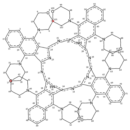 c1ccc2c(N3CCOCC3)c3c(c(N4CCOCC4)c2c1)-c1nc-3nc2[nH]c(nc3nc(nc4[nH]c(n1)c1c(N5CCOCC5)c5ccccc5c(N5CCOCC5)c41)-c1c-3c(N3CCOCC3)c3ccccc3c1N1CCOCC1)c1c(N3CCOCC3)c3ccccc3c(N3CCOCC3)c21